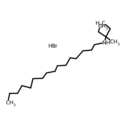 Br.CCCCCCCCCCCCCCCCNC(C)(CC)CC